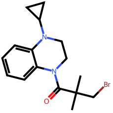 CC(C)(CBr)C(=O)N1CCN(C2CC2)c2ccccc21